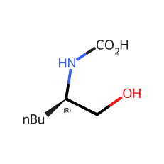 CCCC[C@H](CO)NC(=O)O